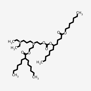 CCCCCCCOC(=O)CCCC(CCCCCC)OC(=O)OCCN(CCCN(CC)CC)CCOC(=O)C(CCCCCC)CCCCCC